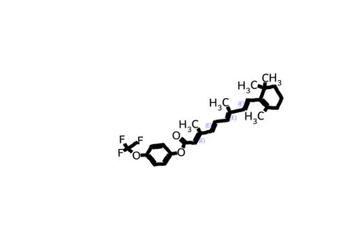 CC1=C(/C=C/C(C)=C/C=C/C(C)=C/C(=O)Oc2ccc(OC(F)(F)F)cc2)C(C)(C)CCC1